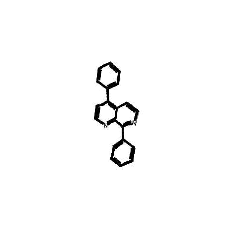 c1ccc(-c2ccnc3c(-c4ccccc4)nccc23)cc1